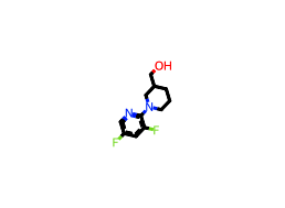 OCC1CCCN(c2ncc(F)cc2F)C1